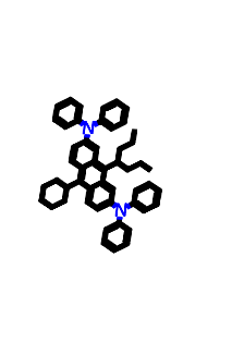 CCCC(CCC)c1c2cc(N(c3ccccc3)c3ccccc3)ccc2c(C2CCCCC2)c2ccc(N(c3ccccc3)c3ccccc3)cc12